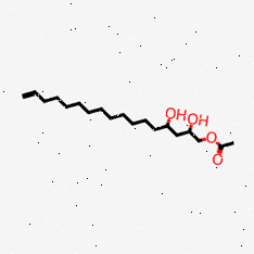 C=CCCCCCCCCCCCC(O)CC(O)COC(C)=O